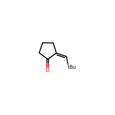 CC(C)(C)C=C1CCCC1=O